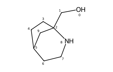 OCC12CCC(CCN1)C2